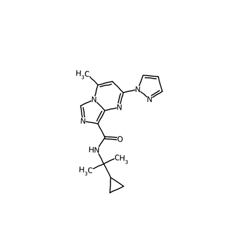 Cc1cc(-n2cccn2)nc2c(C(=O)NC(C)(C)C3CC3)ncn12